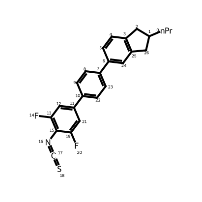 CCCC1Cc2ccc(-c3ccc(-c4cc(F)c(N=C=S)c(F)c4)cc3)cc2C1